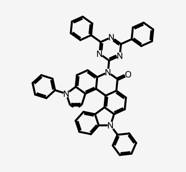 O=c1c2ccc3c(c4ccccc4n3-c3ccccc3)c2c2c3c4ccccc4n(-c4ccccc4)c3ccc2n1-c1nc(-c2ccccc2)nc(-c2ccccc2)n1